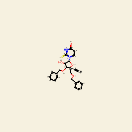 C#C[C@]1(COCc2ccccc2)OC(n2ccc(=O)[nH]c2=S)C(O)C1OCc1ccccc1